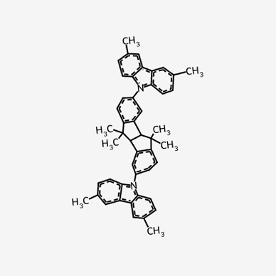 Cc1ccc2c(c1)c1cc(C)ccc1n2-c1ccc2c(c1)C1C(c3cc(-n4c5ccc(C)cc5c5cc(C)ccc54)ccc3C1(C)C)C2(C)C